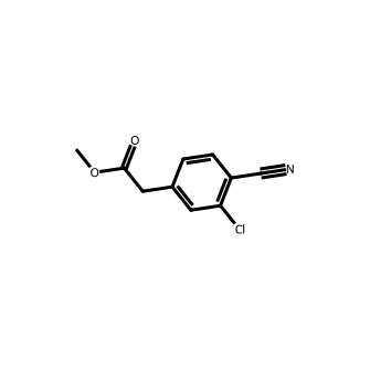 COC(=O)Cc1ccc(C#N)c(Cl)c1